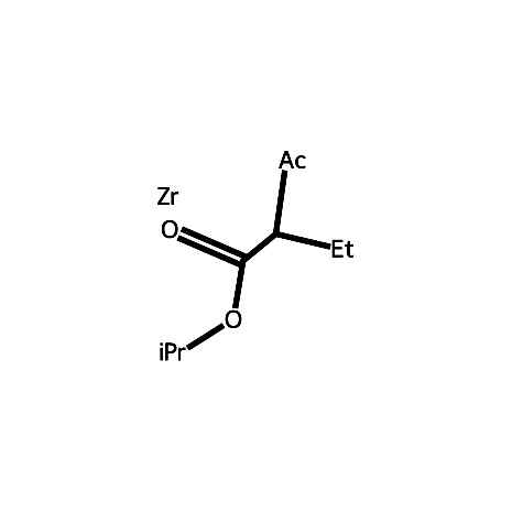 CCC(C(C)=O)C(=O)OC(C)C.[Zr]